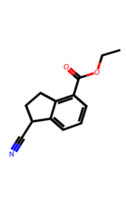 CCOC(=O)c1cccc2c1CCC2C#N